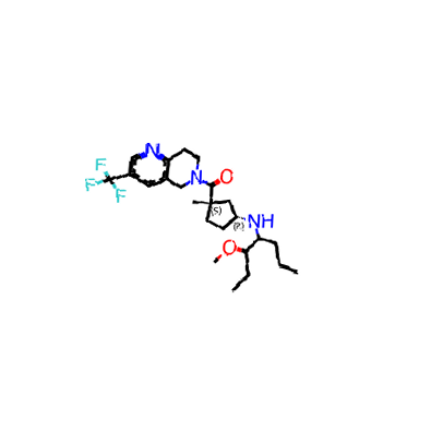 CCCC(N[C@@H]1CC[C@](C)(C(=O)N2CCc3ncc(C(F)(F)F)cc3C2)C1)C(CC)OC